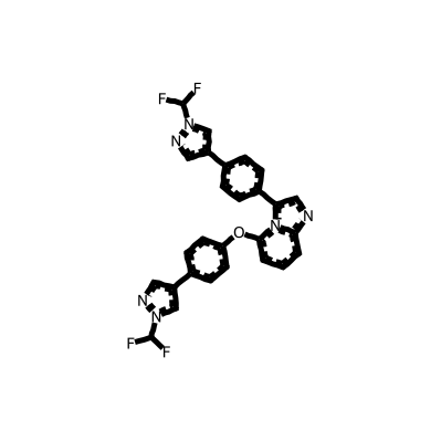 FC(F)n1cc(-c2ccc(Oc3cccc4ncc(-c5ccc(-c6cnn(C(F)F)c6)cc5)n34)cc2)cn1